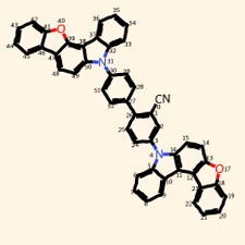 N#Cc1cc(-n2c3ccccc3c3c4c(ccc32)oc2ccccc24)ccc1-c1ccc(-n2c3ccccc3c3c4oc5ccccc5c4ccc32)cc1